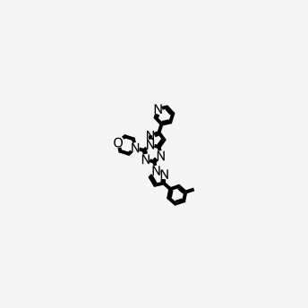 Cc1cccc(-c2ccn(-c3nc(N4CCOCC4)n4nc(-c5cccnc5)cc4n3)n2)c1